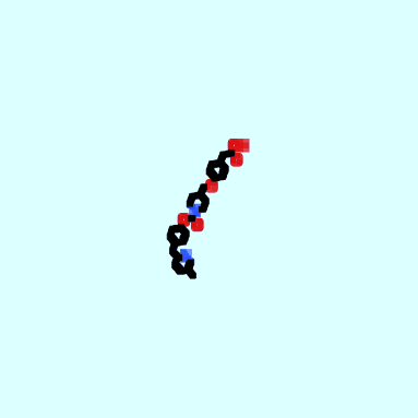 Cc1ccc(Cc2ccc(OC(=O)N3CCC(COc4ccc(CC(=O)O)cc4)CC3)cc2)nc1